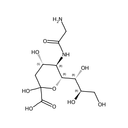 NCC(=O)N[C@H]1[C@H]([C@H](O)[C@H](O)CO)OC(O)(C(=O)O)C[C@@H]1O